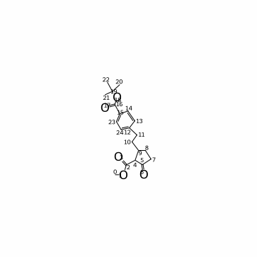 COC(=O)C1C(=O)CCC1CCc1ccc(C(=O)OC(C)(C)C)cc1